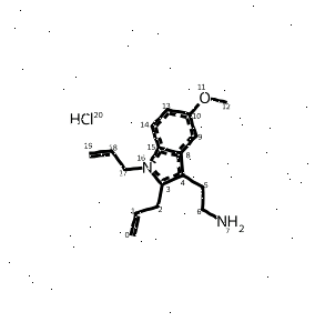 C=CCc1c(CCN)c2cc(OC)ccc2n1CC=C.Cl